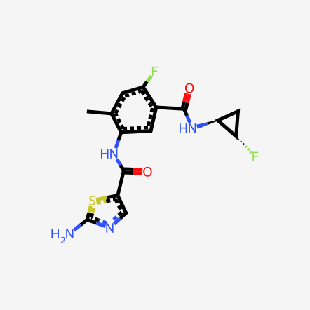 Cc1cc(F)c(C(=O)N[C@H]2C[C@@H]2F)cc1NC(=O)c1cnc(N)s1